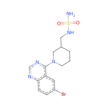 NS(=O)(=O)NCC1CCCN(c2ncnc3ccc(Br)cc23)C1